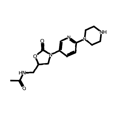 CC(=O)NCC1CN(c2ccc(N3CCNCC3)nc2)C(=O)O1